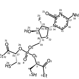 CCC(=O)[C@@H](CS)OP(=O)(OC[C@H]1S[C@@H](n2ccc(N)nc2=O)[C@@H](F)[C@@H]1O)O[C@H](CS)C(=O)CC